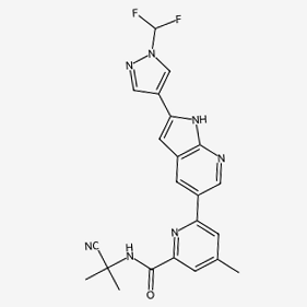 Cc1cc(C(=O)NC(C)(C)C#N)nc(-c2cnc3[nH]c(-c4cnn(C(F)F)c4)cc3c2)c1